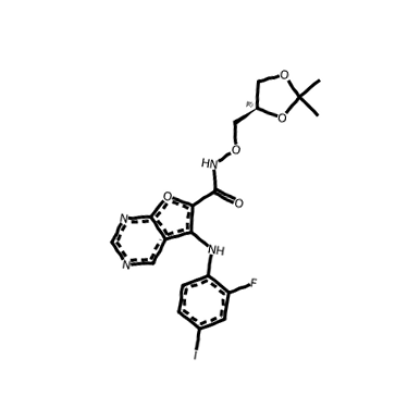 CC1(C)OC[C@H](CONC(=O)c2oc3ncncc3c2Nc2ccc(I)cc2F)O1